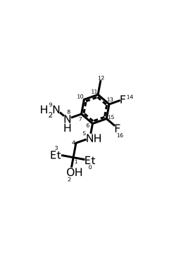 CCC(O)(CC)CNc1c(NN)cc(C)c(F)c1F